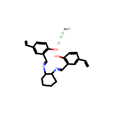 C=Cc1ccc(O)c(C=NC2CCCCC2N=Cc2cc(C=C)ccc2O)c1.[Cl-].[Cl-].[Cl-].[Mn+3]